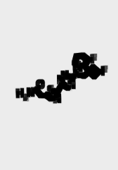 NC(=O)Cc1cnc(-c2cnc(NCC3(c4ncccc4F)CC(F)C3)nn2)s1